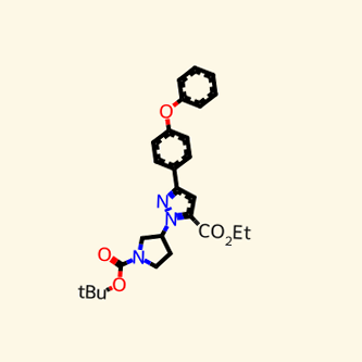 CCOC(=O)c1cc(-c2ccc(Oc3ccccc3)cc2)nn1C1CCN(C(=O)OC(C)(C)C)C1